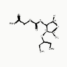 B[C@@H]1O[C@H](CC)C(OC(=O)OCC(=O)NC)[C@@H]1OC(COC)COC